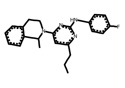 CCCc1cc(N2CCc3ccccc3C2C)nc(Nc2ccc(F)cc2)n1